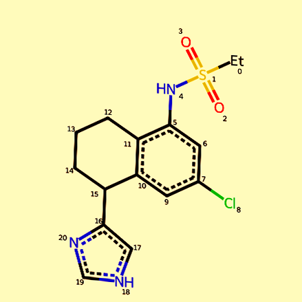 CCS(=O)(=O)Nc1cc(Cl)cc2c1CCCC2c1c[nH]cn1